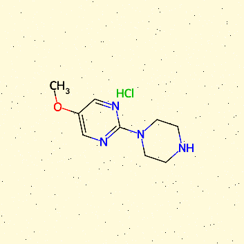 COc1cnc(N2CCNCC2)nc1.Cl